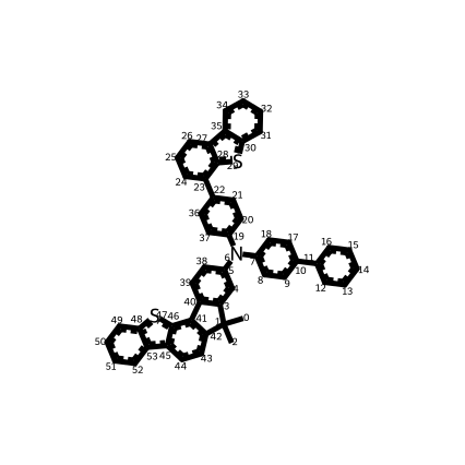 CC1(C)c2cc(N(c3ccc(-c4ccccc4)cc3)c3ccc(-c4cccc5c4sc4ccccc45)cc3)ccc2-c2c1ccc1c2sc2ccccc21